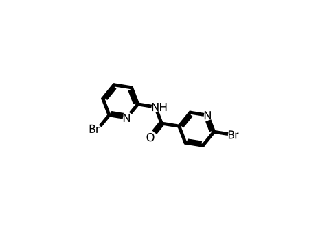 O=C(Nc1cccc(Br)n1)c1ccc(Br)nc1